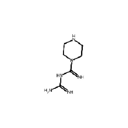 N=C(N)NC(=N)N1CCNCC1